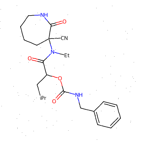 CCN(C(=O)C(CC(C)C)OC(=O)NCc1ccccc1)C1(C#N)CCCCNC1=O